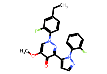 CCc1ccc(-n2cc(OC)c(=O)c(-c3ccnn3-c3ccccc3F)n2)c(F)c1